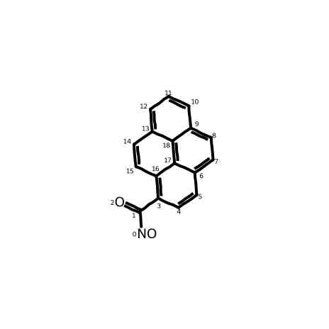 O=NC(=O)c1ccc2ccc3cccc4ccc1c2c34